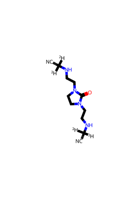 [2H]C([2H])(C#N)NCCN1CCN(CCNC([2H])([2H])C#N)C1=O